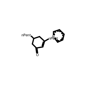 CCCCCC1=CC(=O)CC(CCCCC)C1.c1ccncc1